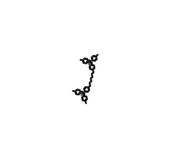 Cc1ccc(N(c2ccc(C)cc2)c2ccc(CCCCCCCc3ccc(N(c4ccc(C)cc4)c4ccc(C)cc4)cc3)cc2)cc1